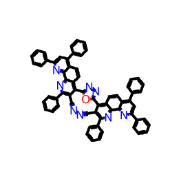 N#Cc1c(-c2ccccc2)nc2c(ccc3c(-c4ccccc4)cc(-c4ccccc4)nc32)c1-c1nnc(-c2c(C#N)c(-c3ccccc3)nc3c2ccc2c(-c4ccccc4)cc(-c4ccccc4)nc23)o1